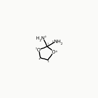 NC1(N)OCCO1